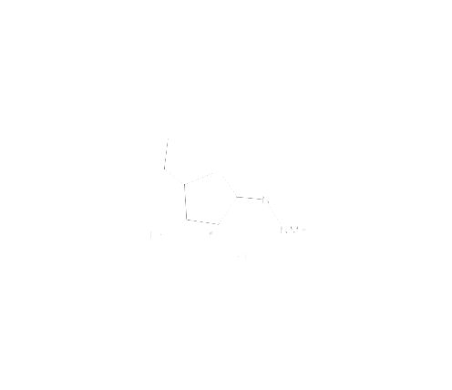 CNNC1OC(CF)[C@@H](O)[C@H]1O